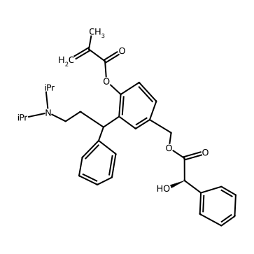 C=C(C)C(=O)Oc1ccc(COC(=O)[C@H](O)c2ccccc2)cc1C(CCN(C(C)C)C(C)C)c1ccccc1